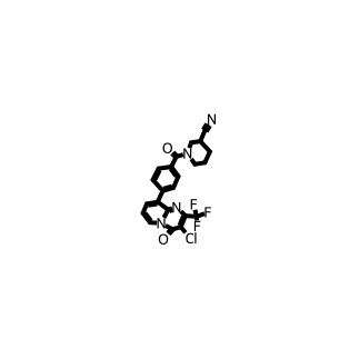 N#CC1CCCN(C(=O)c2ccc(-c3cccn4c(=O)c(Cl)c(C(F)(F)F)nc34)cc2)C1